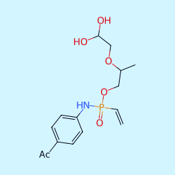 C=CP(=O)(Nc1ccc(C(C)=O)cc1)OCC(C)OCC(O)O